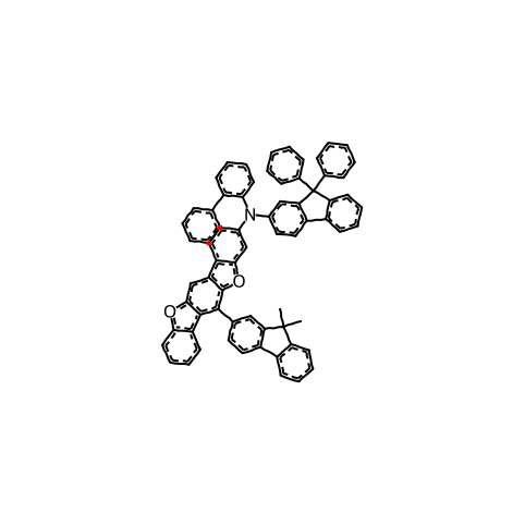 CC1(C)c2ccccc2-c2ccc(-c3c4oc5cc(N(c6ccc7c(c6)C(c6ccccc6)(c6ccccc6)c6ccccc6-7)c6ccccc6-c6ccccc6)ccc5c4cc4oc5ccccc5c34)cc21